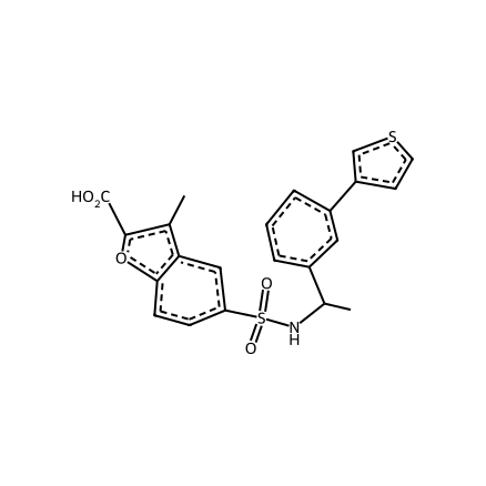 Cc1c(C(=O)O)oc2ccc(S(=O)(=O)NC(C)c3cccc(-c4ccsc4)c3)cc12